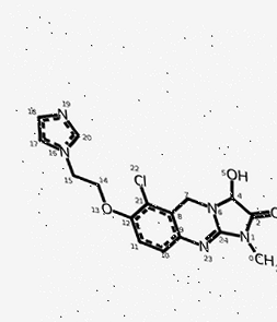 CN1C(=O)C(O)N2Cc3c(ccc(OCCn4ccnc4)c3Cl)N=C12